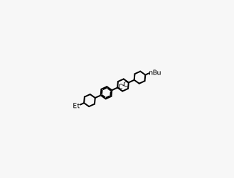 CCCCC1CCC(C23CCC(c4ccc(C5CCC(CC)CC5)cc4)(CC2)CC3)CC1